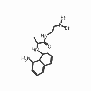 CCN(CC)CCNC(=O)C(C)NC1CC=CC2=CC=CC(N)C21